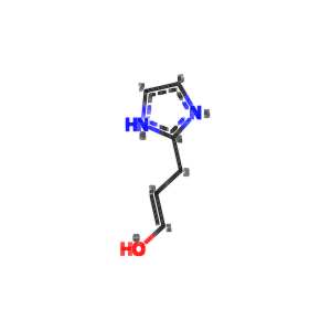 OC=CCc1ncc[nH]1